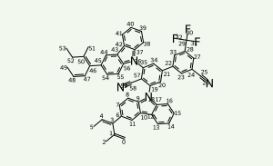 C=C(C)/C(=C\C)c1ccc2c(c1)c1ccccc1n2-c1cc(-c2cc(C#N)cc(C(F)(F)F)c2)cc(-n2c3ccccc3c3cc(C(/C=C\C)=C(\C)CC)ccc32)c1C#N